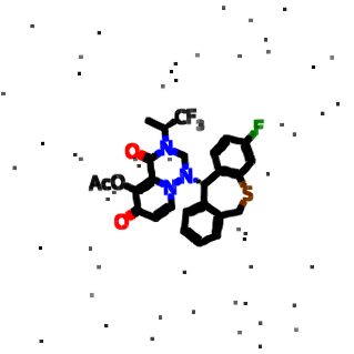 CC(=O)Oc1c2n(ccc1=O)N([C@H]1c3ccccc3CSc3cc(F)ccc31)CN([C@@H](C)C(F)(F)F)C2=O